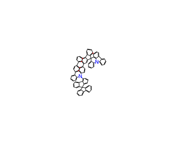 c1ccc(-c2ccc(-c3ccccc3N(c3ccc(-c4ccc5c(c4)C4(c6ccccc6-5)c5ccccc5-n5c6ccccc6c6cccc4c65)cc3)c3cccc4c3-c3ccccc3C43c4ccccc4-c4ccccc43)cc2)cc1